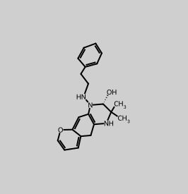 CC1(C)NC2=C(C=C3OC=CC=C3C2)N(NCCc2ccccc2)[C@@H]1O